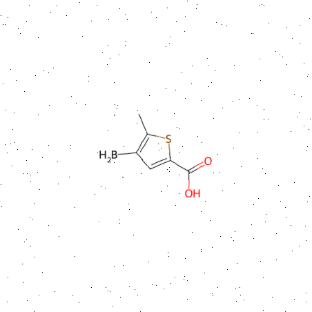 Bc1cc(C(=O)O)sc1C